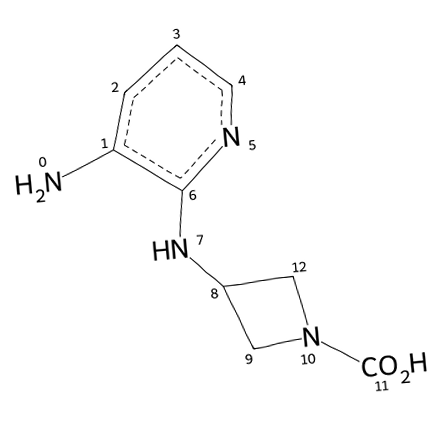 Nc1cccnc1NC1CN(C(=O)O)C1